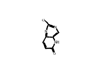 O=c1ccc2nc(Cl)ncc2[nH]1